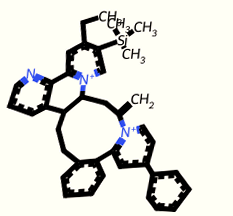 C=C1CC2C(CCc3ccccc3-c3cc(-c4ccccc4)cc[n+]31)c1cccnc1-c1cc(CC)c([Si](C)(C)C)c[n+]12